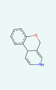 C1=CC2C(=CN1)COc1ccccc12